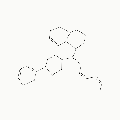 C/C=C\C=C/CN(C1CCC(C2=CC=CCC2)CC1)C1CCCC2CCC=CC21